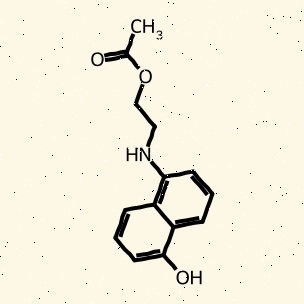 CC(=O)OCCNc1cccc2c(O)cccc12